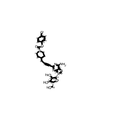 Nc1nc(C#CCC2CCN(C(=O)Oc3ccc(Cl)cc3)CC2)nc2c1ncn2[C@@H]1O[C@H](CO)[C@H](O)C1O